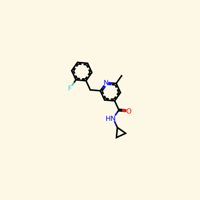 Cc1cc(C(=O)NC2CC2)cc(Cc2ccccc2F)n1